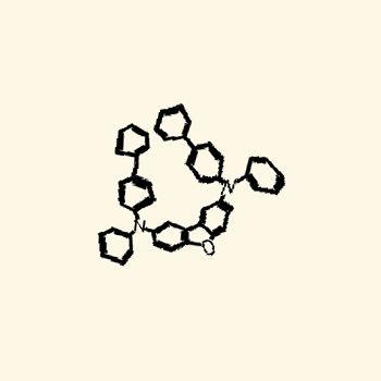 c1ccc(-c2ccc(N(c3ccccc3)c3ccc4oc5ccc(N(c6ccccc6)c6ccc(-c7ccccc7)cc6)cc5c4c3)cc2)cc1